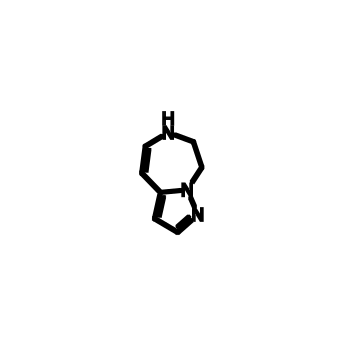 C1=Cc2ccnn2CCN1